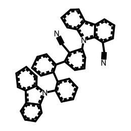 N#Cc1c(-c2ccccc2-c2ccccc2-n2c3ccccc3c3ccccc32)cccc1-n1c2ccccc2c2cccc(C#N)c21